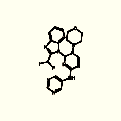 FC(F)c1nc2ccccc2n1C1N=C(Nc2cncnc2)N=CN1N1CCOCC1